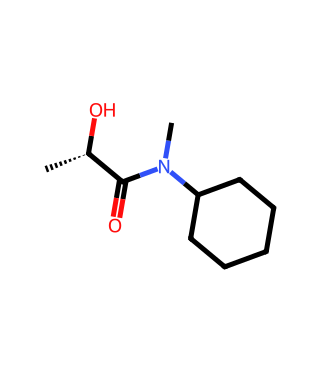 C[C@H](O)C(=O)N(C)C1CCCCC1